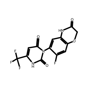 O=C1COc2cc(F)c(-n3c(=O)cc(C(F)(F)F)[nH]c3=O)cc2N1